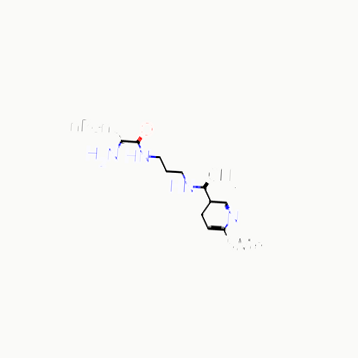 C=C(NCCCNC(=O)[C@@H](N)CCCCC)C1C=NC(SC)=CC1